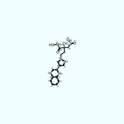 C[C@](CCn1cc(-c2cnc3ccccc3n2)cn1)(C[SH](=O)=O)C(=O)NO